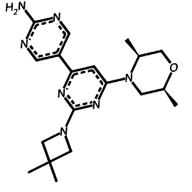 C[C@H]1CN(c2cc(-c3cnc(N)nc3)nc(N3CC(C)(C)C3)n2)[C@@H](C)CO1